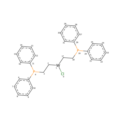 [Cl][W]([CH2]CP(c1ccccc1)c1ccccc1)[CH2]CP(c1ccccc1)c1ccccc1